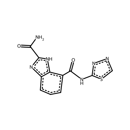 NC(=O)c1nc2cccc(C(=O)Nc3nncs3)c2[nH]1